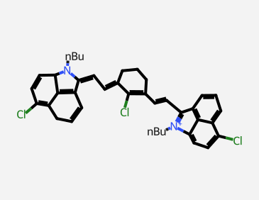 CCCCN1/C(=C/C=C2\CCCC(/C=C/C3=[N+](CCCC)c4ccc(Cl)c5cccc3c45)=C2Cl)C2=C3C(=C(Cl)C=CC31)CC=C2